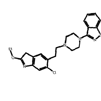 CCOC1=Nc2cc(Cl)c(CCN3CCN(c4nsc5ccccc45)CC3)cc2C1